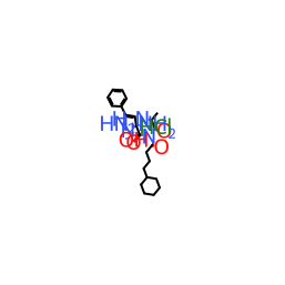 CC(N)C(=O)N(C(=O)CCCC1CCCCC1)C(=O)[C@@]1(N)C=C(c2ccccc2)NN1O.Cl